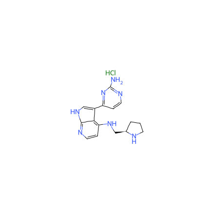 Cl.Nc1nccc(-c2c[nH]c3nccc(NC[C@H]4CCCN4)c23)n1